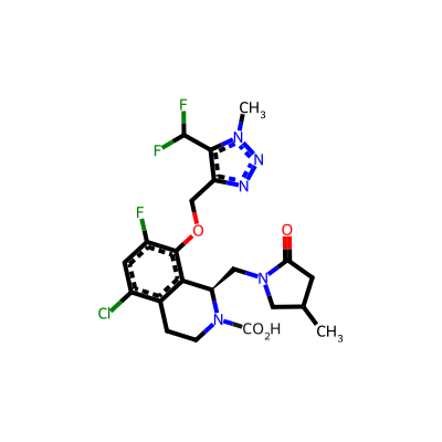 CC1CC(=O)N(C[C@@H]2c3c(c(Cl)cc(F)c3OCc3nnn(C)c3C(F)F)CCN2C(=O)O)C1